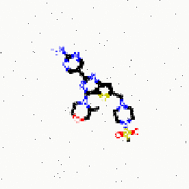 CC1COCCN1c1nc(-c2cnc(N)nc2)nc2cc(CN3CCN(S(C)(=O)=O)CC3)sc12